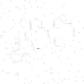 CC[C@@H]1CN(Cc2cc(C(CC(=O)OC)c3ccc(C(=O)C4CC4)s3)ccc2C)S(=O)(=O)c2ccccc2O1